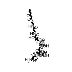 C=CCC(=O)CC(=O)SCCNC(=O)CCNC(=O)C(O)C(C)(C)COP(=O)(O)OP(=O)(O)OCC1OC(n2cnc3c(N)ncnc32)C(O)C1OP(=O)(O)O